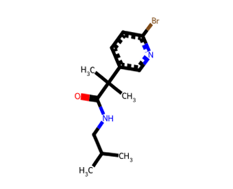 CC(C)CNC(=O)C(C)(C)c1ccc(Br)nc1